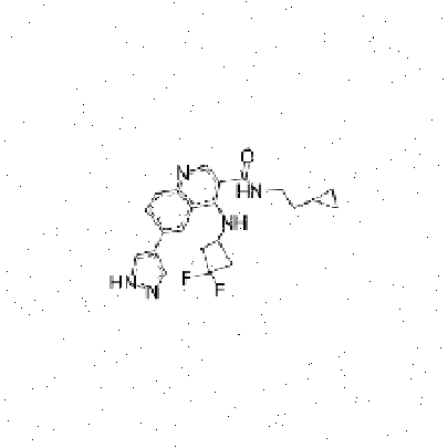 O=C(NCCC1CC1)c1cnc2ccc(-c3cn[nH]c3)cc2c1NC1CC(F)(F)C1